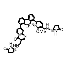 COc1nc(-c2cccc(-c3cccc(-c4ccn5c(=O)c(CNC[C@@H]6CCC(=O)N6)cnc5c4)c3Cl)c2C#N)ccc1CNC[C@@H]1CCC(=O)N1